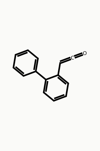 O=C=Cc1ccccc1-c1ccccc1